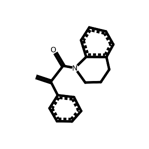 C=C(C(=O)N1CCCc2ccccc21)c1ccccc1